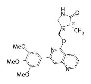 COc1cc(-c2cc3ncccc3c(OC[C@H]3CNC(=O)[C@@H]3C)n2)cc(OC)c1OC